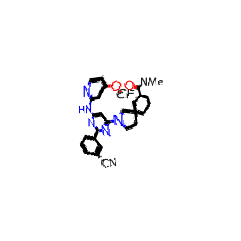 CNC(=O)C1CCCC2(CCN(c3cc(Nc4cc(OC(F)(F)F)ccn4)nc(-c4cccc(C#N)c4)n3)C2)C1